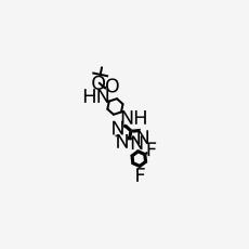 CC(C)(C)OC(=O)N[C@H]1CC[C@@H](Nc2ncnc3c2cnn3-c2ccc(F)cc2F)CC1